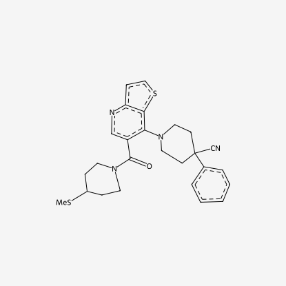 CSC1CCN(C(=O)c2cnc3ccsc3c2N2CCC(C#N)(c3ccccc3)CC2)CC1